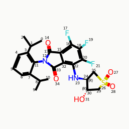 CC(C)c1cccc(C(C)C)c1N1C(=O)c2c(F)c(F)c(F)c(N[C@H]3CS(=O)(=O)C[C@@H]3O)c2C1=O